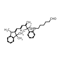 C=C(/C=C/C=C1/N(C)c2ccccc2C1(C)C)C(C)(C)c1ccccc1NCCCCCC=O